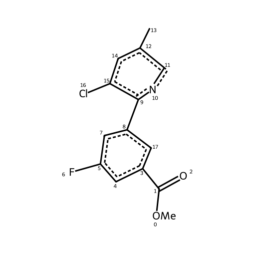 COC(=O)c1cc(F)cc(-c2ncc(C)cc2Cl)c1